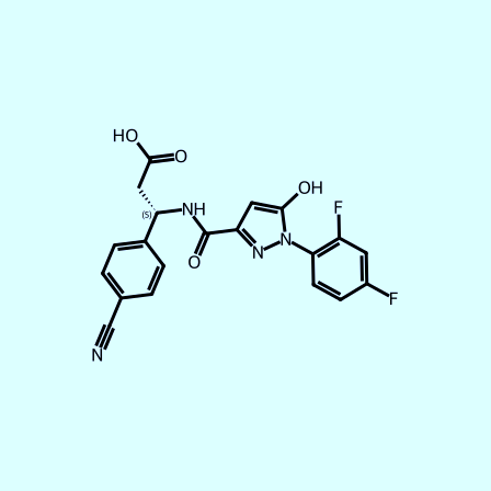 N#Cc1ccc([C@H](CC(=O)O)NC(=O)c2cc(O)n(-c3ccc(F)cc3F)n2)cc1